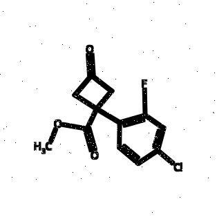 COC(=O)C1(c2ccc(Cl)cc2F)CC(=O)C1